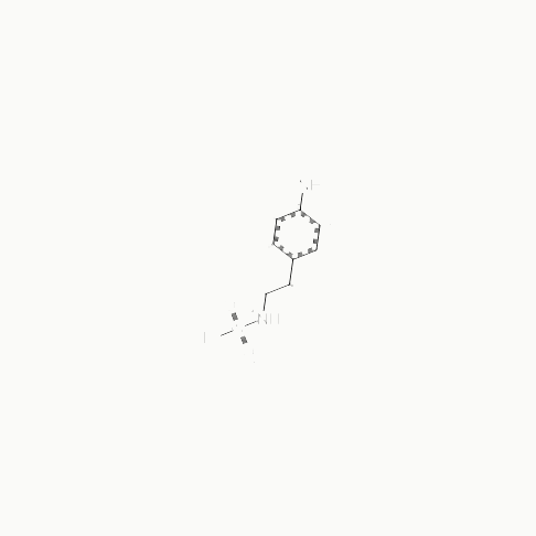 CCS(=O)(=O)NCCc1ccc(N)cc1